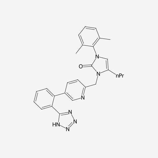 CCCc1cn(-c2c(C)cccc2C)c(=O)n1Cc1ccc(-c2ccccc2-c2nnn[nH]2)cn1